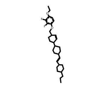 CCCC1CCC(/C=C/C2CCC(C3C=CC(COc4ccc(OCC)c(F)c4F)CC3)CC2)CC1